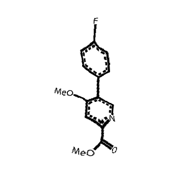 COC(=O)c1cc(OC)c(-c2ccc(F)cc2)cn1